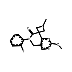 COc1ncc2c(n1)C1(CN(C)C1)C(=O)N(c1ccccc1F)C2